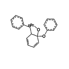 CCCOC1(Oc2ccccc2)C=CC=CC1Cc1ccccc1